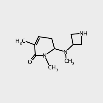 CC1=CCC(N(C)C2CNC2)N(C)C1=O